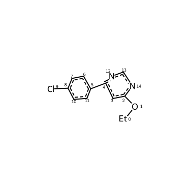 CCOc1cc(-c2ccc(Cl)cc2)n[c]n1